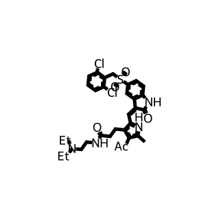 CCN(CC)CCNC(=O)CCc1c(C=C2C(=O)Nc3ccc(S(=O)(=O)Cc4c(Cl)cccc4Cl)cc32)[nH]c(C)c1C(C)=O